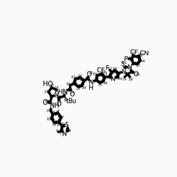 Cc1ncsc1-c1ccc(CNC(=O)C2C[C@@H](O)CN2C(=O)[C@@H](NC(=O)Cc2ccc(C(=O)Nc3ccc(-c4ncc(N5C(=S)N(c6ccc(C#N)c(C(F)(F)F)c6F)C(=O)C5(C)C)cc4F)c(C(F)(F)F)c3)cc2)C(C)(C)C)cc1